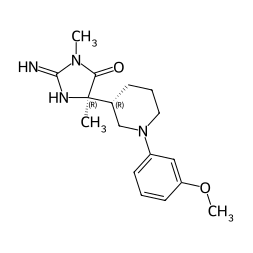 COc1cccc(N2CCC[C@@H]([C@@]3(C)NC(=N)N(C)C3=O)C2)c1